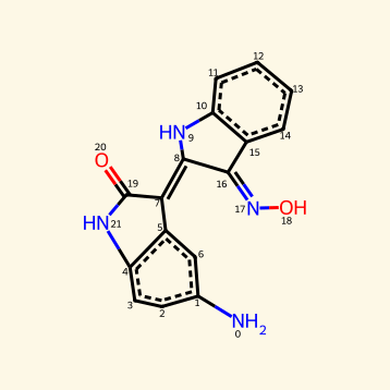 Nc1ccc2c(c1)/C(=C1/Nc3ccccc3/C1=N\O)C(=O)N2